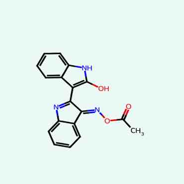 CC(=O)O/N=C1/C(c2c(O)[nH]c3ccccc23)=Nc2ccccc21